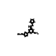 CN[C@@H]1CCN(c2nc(N)nc(NC[C]3CCCC3)n2)C1